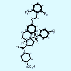 O=C(O)[C@H]1CC[C@H](C(=O)N2CC[C@@]3(S(=O)(=O)c4ccc(Cl)cc4)c4ccc(OCc5c(F)cccc5C(F)(F)F)cc4CC[C@@H]23)CC1